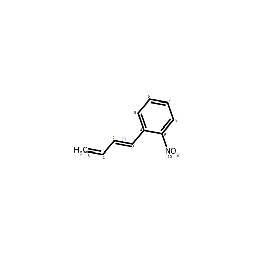 C=C/C=C/c1ccccc1[N+](=O)[O-]